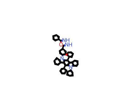 N=C(OC(=N)c1ccc(-n2c3ccccc3c3c(-c4ccccc4)c4c(c(-c5ccccc5)c32)c2ccccc2n4-c2ccccc2)cc1)c1ccccc1